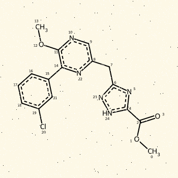 COC(=O)c1nc(Cc2cnc(OC)c(-c3cccc(Cl)c3)n2)n[nH]1